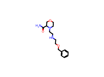 NC(=O)C1COCCN1CCN[CH]COCc1ccccc1